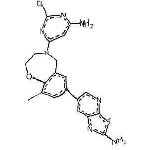 Cc1cc(-c2cnc3sc(N)nc3c2)cc2c1OCCN(c1cc(N)nc(Cl)n1)C2